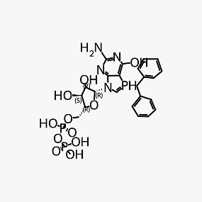 Nc1nc(O)c2c(n1)N([C@@H]1O[C@H](COP(=O)(O)OP(=O)(O)O)[C@@H](O)[C@H]1O)C=[PH]2C(c1ccccc1)c1ccccc1